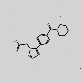 O=C(O)Cn1nnnc1-c1ccc(C(=O)N2CCCCC2)cc1